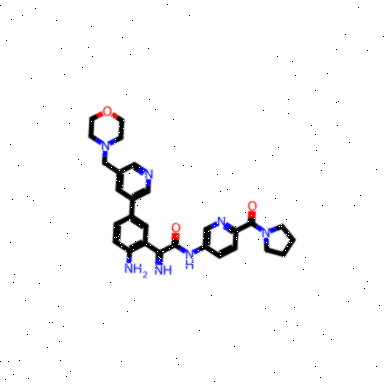 N=C(C(=O)Nc1ccc(C(=O)N2CCCC2)nc1)c1cc(-c2cncc(CN3CCOCC3)c2)ccc1N